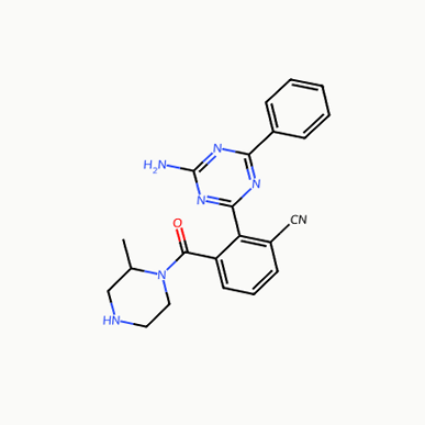 CC1CNCCN1C(=O)c1cccc(C#N)c1-c1nc(N)nc(-c2ccccc2)n1